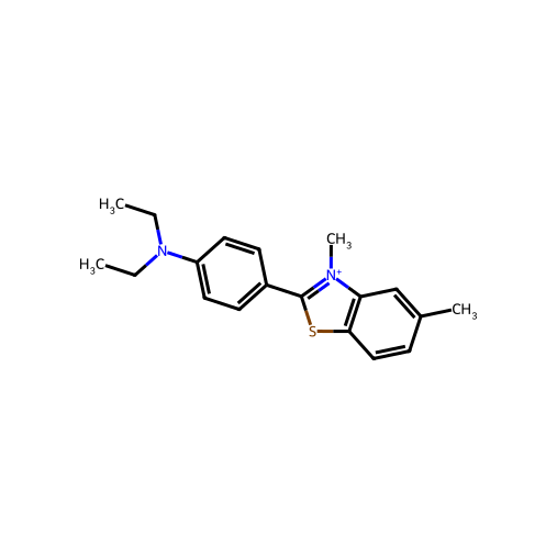 CCN(CC)c1ccc(-c2sc3ccc(C)cc3[n+]2C)cc1